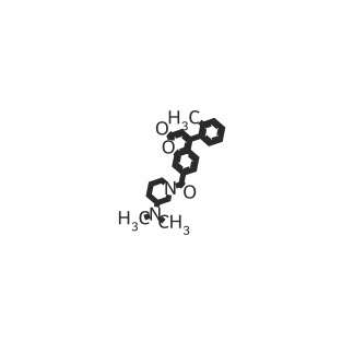 Cc1ccccc1-c1cc(=O)oc2cc(C(=O)N3CCCC(N(C)C)C3)ccc12